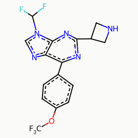 FC(F)n1cnc2c(-c3ccc(OC(F)(F)F)cc3)nc(C3CNC3)nc21